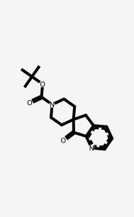 CC(C)(C)OC(=O)N1CCC2(CC1)Cc1cccnc1C2=O